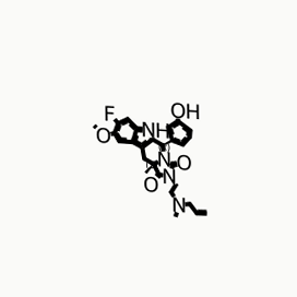 C=CCN(C)CCN1C(=O)N2[C@H](c3cccc(O)c3)c3[nH]c4cc(F)c(OC)cc4c3C[C@@]2(C)C1=O